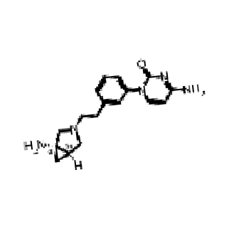 Nc1ccn(-c2cccc(CCN3C[C@H]4C[C@@]4(N)C3)c2)c(=O)n1